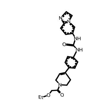 CCOCC(=O)N1CC=C(c2ccc(NC(=O)Nc3ccc4nccn4c3)cc2)CC1